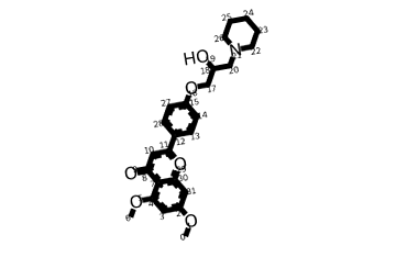 COc1cc(OC)c2c(=O)cc(-c3ccc(OCC(O)CN4CCCCC4)cc3)oc2c1